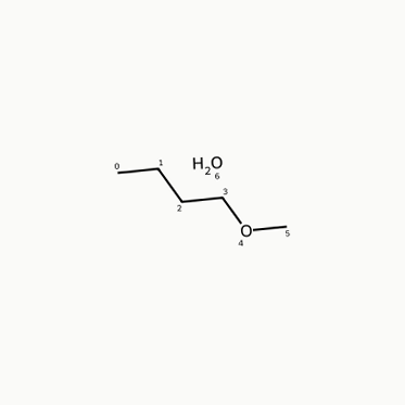 CCCCOC.O